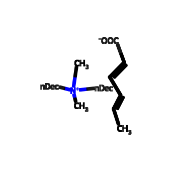 CC=CC=CC(=O)[O-].CCCCCCCCCC[N+](C)(C)CCCCCCCCCC